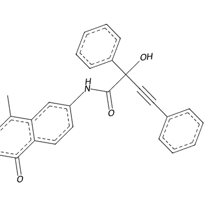 Cc1noc(=O)c2ccc(NC(=O)C(O)(C#Cc3ccccc3)c3ccccc3)cc12